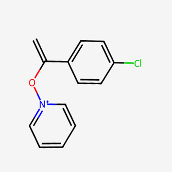 C=C(O[n+]1ccccc1)c1ccc(Cl)cc1